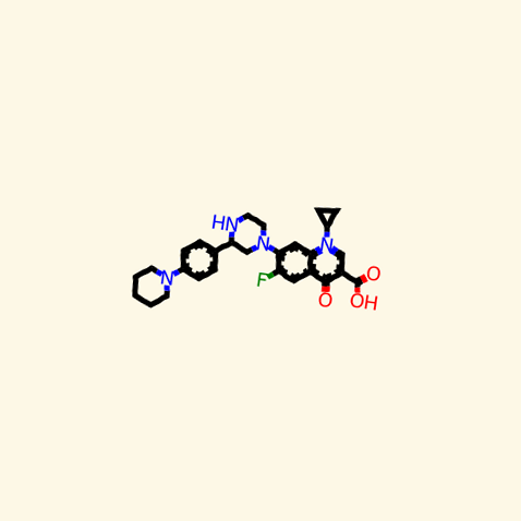 O=C(O)c1cn(C2CC2)c2cc(N3CCNC(c4ccc(N5CCCCC5)cc4)C3)c(F)cc2c1=O